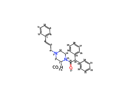 O=C(O)C1CN(CC=Cc2ccccc2)CCN1C(=O)C(c1ccccc1)c1ccccc1